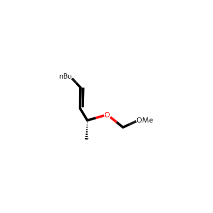 [CH2][C@H](C=CCCCC)OCOC